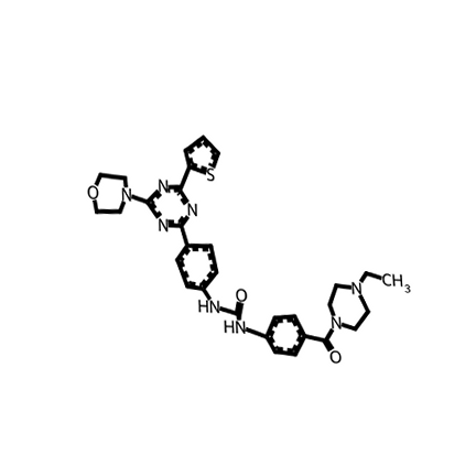 CCN1CCN(C(=O)c2ccc(NC(=O)Nc3ccc(-c4nc(-c5cccs5)nc(N5CCOCC5)n4)cc3)cc2)CC1